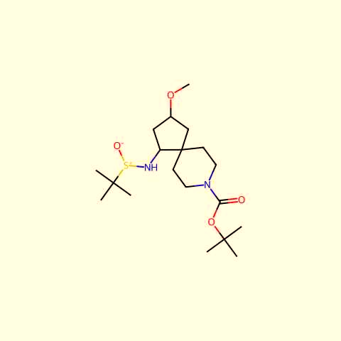 COC1CC(N[S+]([O-])C(C)(C)C)C2(CCN(C(=O)OC(C)(C)C)CC2)C1